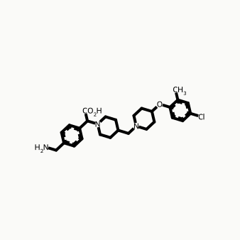 Cc1cc(Cl)ccc1OC1CCN(CC2CCN(C(C(=O)O)c3ccc(CN)cc3)CC2)CC1